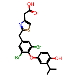 CC(C)c1cc(Oc2c(Br)cc(Cc3nc(CC(=O)O)cs3)cc2Br)ccc1O